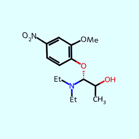 CCN(CC)[C@H](Oc1ccc([N+](=O)[O-])cc1OC)C(C)O